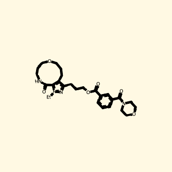 CCn1nc(CCCOC(=O)c2cccc(C(=O)N3CCOCC3)c2)c2c1C(=O)NCCCOCCC2